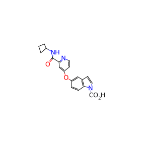 O=C(NC1CCC1)c1cc(Oc2ccc3c(ccn3C(=O)O)c2)ccn1